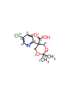 CC1(C)OCC(C(=O)O)(c2ccc(Cl)cn2)CO1